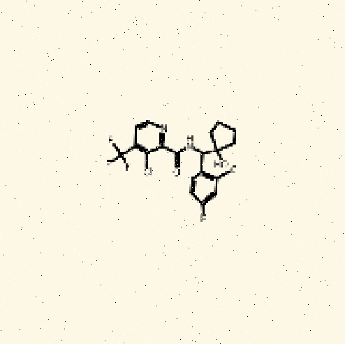 O=C(NC(c1ccc(F)cc1Cl)C1(O)CCCC1)c1nccc(C(F)(F)F)c1Cl